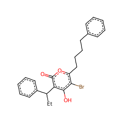 CCC(c1ccccc1)c1c(O)c(Br)c(CCCCc2ccccc2)oc1=O